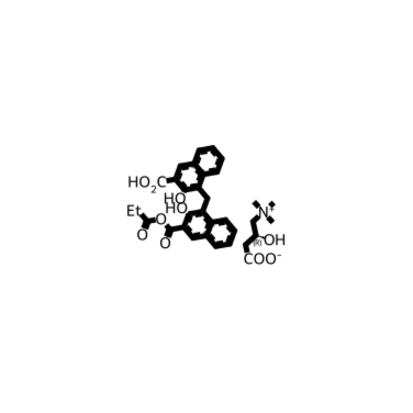 CCC(=O)OC(=O)c1cc2ccccc2c(Cc2c(O)c(C(=O)O)cc3ccccc23)c1O.C[N+](C)(C)C[C@H](O)CC(=O)[O-]